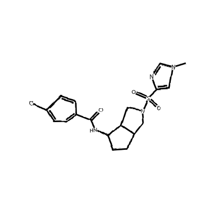 Cn1cnc(S(=O)(=O)N2CC3CCC(NC(=O)c4ccc(Cl)cc4)C3C2)c1